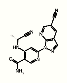 C[C@H](C#N)Nc1cc(-n2ncc3cc(C#N)cnc32)ncc1C(N)=O